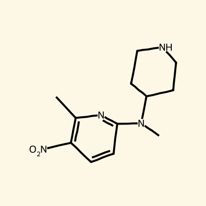 Cc1nc(N(C)C2CCNCC2)ccc1[N+](=O)[O-]